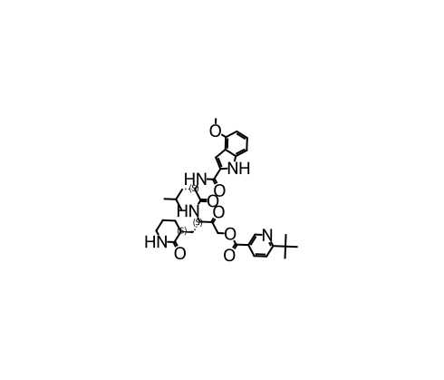 COc1cccc2[nH]c(C(=O)N[C@@H](CC(C)C)C(=O)N[C@@H](C[C@@H]3CCCNC3=O)C(=O)COC(=O)c3ccc(C(C)(C)C)nc3)cc12